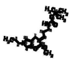 CCCn1cnc(C/C(=C\CCNC(=O)OC(C)(C)C)C(=O)OC)c1